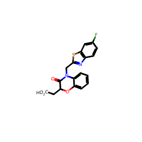 O=C(O)CC1Oc2ccccc2N(Cc2nc3ccc(F)cc3s2)C1=O